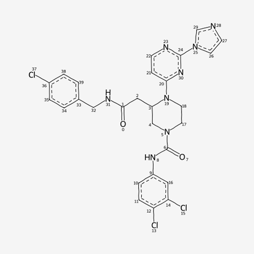 O=C(CC1CN(C(=O)Nc2ccc(Cl)c(Cl)c2)CCN1c1ccnc(-n2ccnc2)n1)NCc1ccc(Cl)cc1